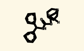 O=C(NC(c1ccccc1)c1ccccc1)O[C@H]1CN2CCC1CC2